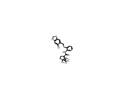 CC12CCC(C(=O)Nc3ccccc3SCc3cc4c(cc3Cl)OCO4)(OC1=O)C2(C)C